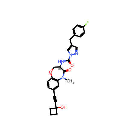 CN1C(=O)[C@H](NC(=O)n2cc(Cc3ccc(F)cc3)cn2)COc2ccc(C#CC3(O)CCC3)cc21